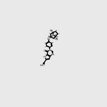 C#Cc1cc2ncn(-c3ccc(O[C@@H]4C[C@H]5CC[C@@H](C4)N5C)cc3)c(=O)c2s1